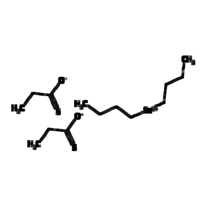 CCC([O-])=S.CCC([O-])=S.CCC[CH2][Sn+2][CH2]CCC